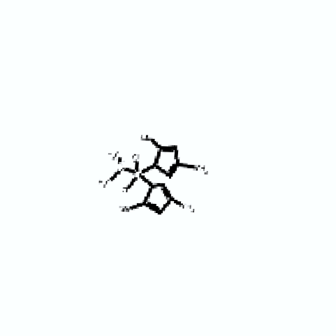 CC1=C[CH]([Ti]([Cl])([Cl])([CH]2C=C(C)C=C2C(C)(C)C)[SiH](C)C)C(C(C)(C)C)=C1